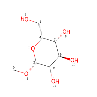 CO[C@@H]1O[C@H](CO)[C@H](O)[C@@H](O)[C@@H]1O